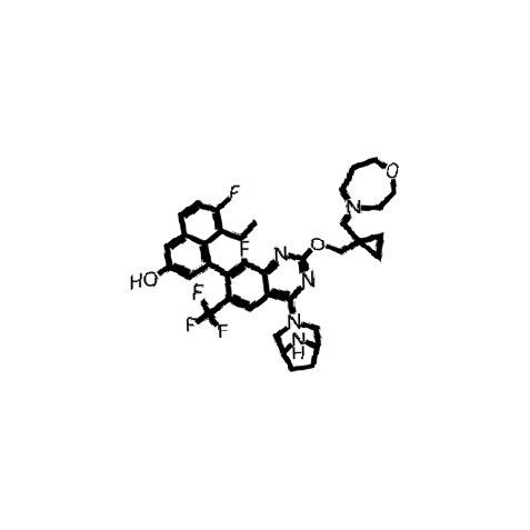 CCc1c(F)ccc2cc(O)cc(-c3c(C(F)(F)F)cc4c(N5CC6CCC(C5)N6)nc(OCC5(CN6CCCOCC6)CC5)nc4c3F)c12